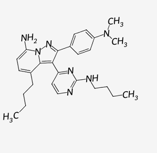 CCCCNc1nccc(-c2c(-c3ccc(N(C)C)cc3)nn3c(N)ccc(CCCC)c23)n1